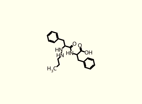 CCCNNC(Cc1ccccc1)C(=O)NC(Cc1ccccc1)C(=O)O